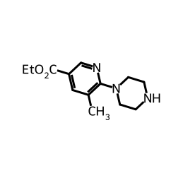 CCOC(=O)c1cnc(N2CCNCC2)c(C)c1